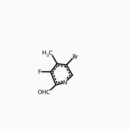 Cc1c(Br)cnc(C=O)c1F